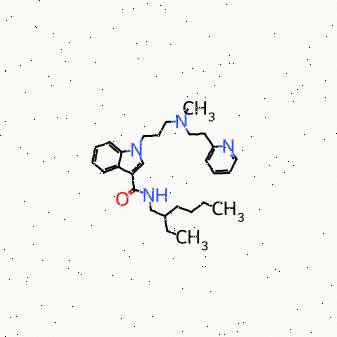 CCCCC(CC)CNC(=O)c1cn(CCCN(C)CCc2ccccn2)c2ccccc12